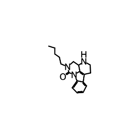 CCCCCN1CC2NCCc3c2n(c2ccccc32)C1=O